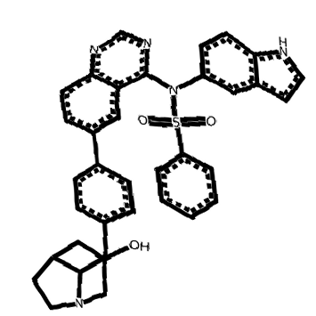 O=S(=O)(c1ccccc1)N(c1ccc2[nH]ccc2c1)c1ncnc2ccc(-c3ccc(CC4C5CCN4CC(O)C5)cc3)cc12